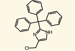 ClCc1c[nH]c(C(c2ccccc2)(c2ccccc2)c2ccccc2)n1